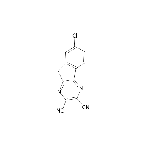 N#Cc1nc2c(nc1C#N)-c1ccc(Cl)cc1C2